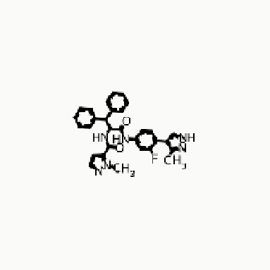 Cc1n[nH]cc1-c1ccc(NC(=O)[C@@H](NC(=O)c2ccnn2C)C(c2ccccc2)c2ccccc2)cc1F